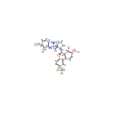 COc1ccc(-c2cccc(C(F)(F)F)c2)c(C(=O)N2CCC[C@@]2(C)c2nc3c(C)c(Cl)ccc3[nH]2)c1F